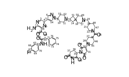 Nc1ncc(-c2cnn(C3CCN(C4CC5(CCN(CC6CCN(C(=O)C7CCN(C8=CC(=O)N(C9CCC(=O)NC9=O)C8=O)CC7)CC6)CC5)C4)CC3)c2)nc1C(=O)O[C@@H](C(=O)Nc1ccc(F)cc1)c1ccccc1